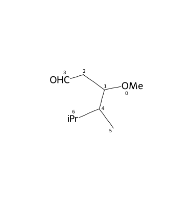 COC(CC=O)C(C)C(C)C